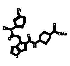 CCN(C(=O)Cn1c(C(=O)NC2CCC(C(=O)OC)CC2)cc2sccc21)c1cccc(C(C)C)c1